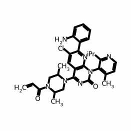 C=CC(=O)N1CC(C)N(c2nc(=O)n(-c3c(C)ccnc3C(C)C)c3nc(-c4ccccc4N)c(Cl)cc23)CC1C